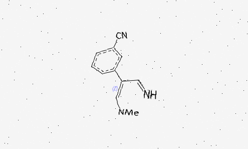 CN/C=C(\C=N)c1cccc(C#N)c1